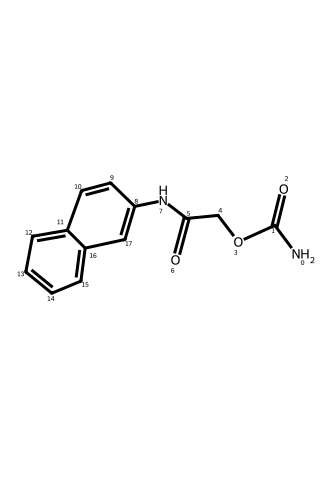 NC(=O)OCC(=O)Nc1ccc2ccccc2c1